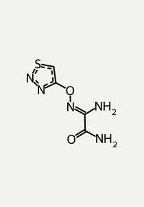 NC(=O)C(N)=NOc1csnn1